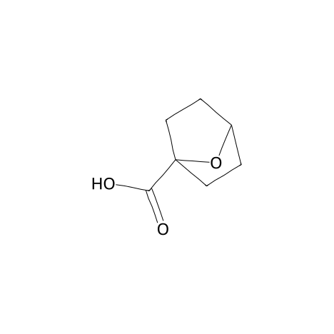 O=C(O)C12CCC(CC1)O2